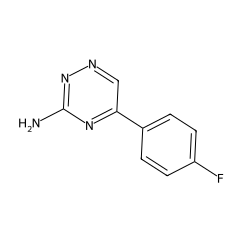 Nc1nncc(-c2ccc(F)cc2)n1